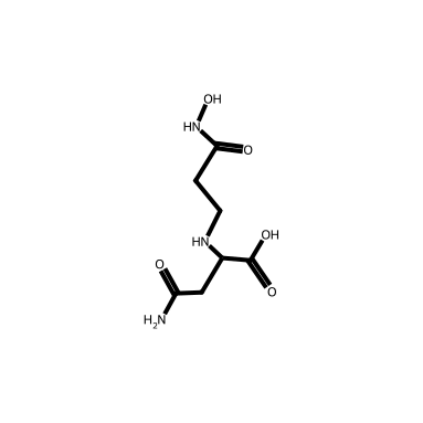 NC(=O)CC(NCCC(=O)NO)C(=O)O